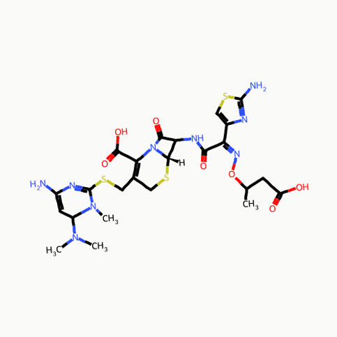 CC(CC(=O)O)O/N=C(\C(=O)NC1C(=O)N2C(C(=O)O)=C(CSC3=NC(N)=CC(N(C)C)N3C)CS[C@@H]12)c1csc(N)n1